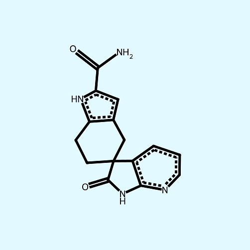 NC(=O)c1cc2c([nH]1)CCC1(C2)C(=O)Nc2ncccc21